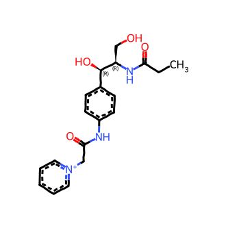 CCC(=O)N[C@H](CO)[C@H](O)c1ccc(NC(=O)C[n+]2ccccc2)cc1